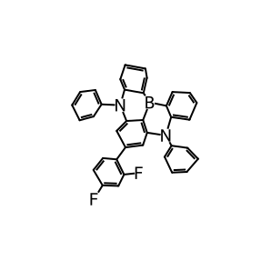 Fc1ccc(-c2cc3c4c(c2)N(c2ccccc2)c2ccccc2B4c2ccccc2N3c2ccccc2)c(F)c1